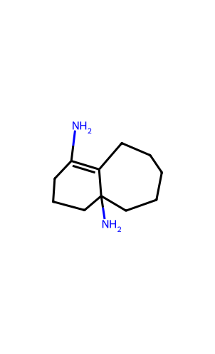 NC1=C2CCCCCC2(N)CCC1